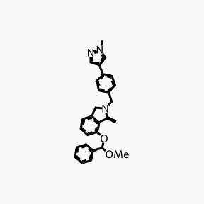 C=C1c2c(cccc2OC(OC)c2ccccc2)CN1Cc1ccc(-c2cnn(C)c2)cc1